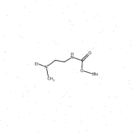 CCN(C)CCNC(=O)OC(C)(C)C